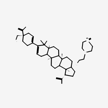 C=C(C)[C@@H]1CC[C@]2(NCCN3CCS(=O)(=O)CC3)CC[C@]3(C)[C@H](CC[C@@H]4[C@@]5(C)CC=C(C6=CC[C@@](CO)(C(=O)O)CC6)C(C)(C)[C@@H]5CC[C@]43C)[C@@H]12